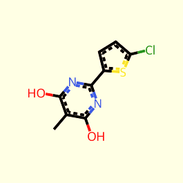 Cc1c(O)nc(-c2ccc(Cl)s2)nc1O